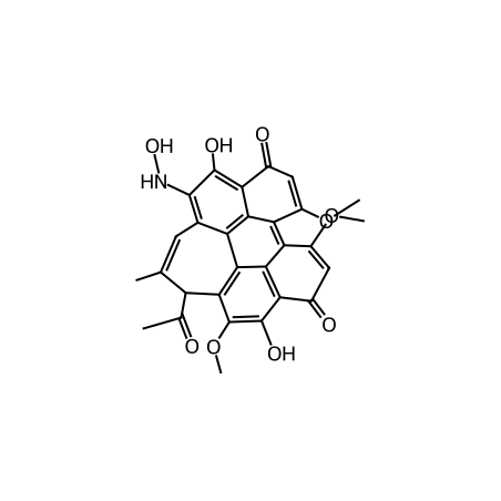 COc1c(O)c2c(=O)cc(OC)c3c4c(OC)cc(=O)c5c(O)c(NO)c6c(c(c1C(C(C)=O)C(C)=C6)c23)c54